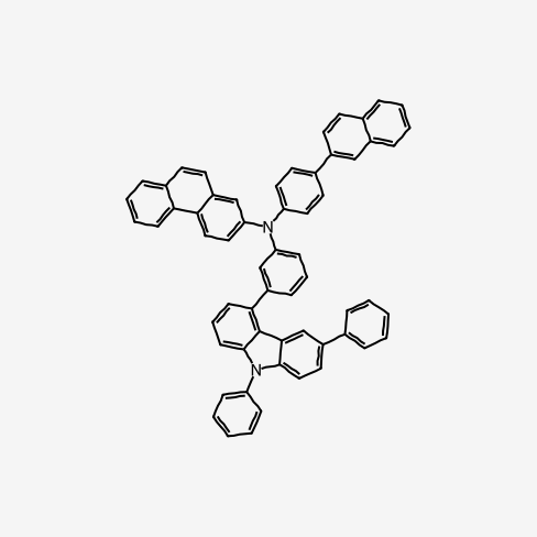 c1ccc(-c2ccc3c(c2)c2c(-c4cccc(N(c5ccc(-c6ccc7ccccc7c6)cc5)c5ccc6c(ccc7ccccc76)c5)c4)cccc2n3-c2ccccc2)cc1